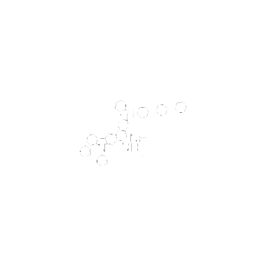 Nc1c(N)c2cc3c(cc2c2cc4c5ccccc5n(-c5ccc(-c6ccc(-c7ccccc7)cc6)cc5)c4cc12)c1ccccc1n3-c1ccccc1-c1ccccc1